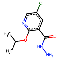 CC(C)Oc1ncc(Cl)cc1C(=O)NN